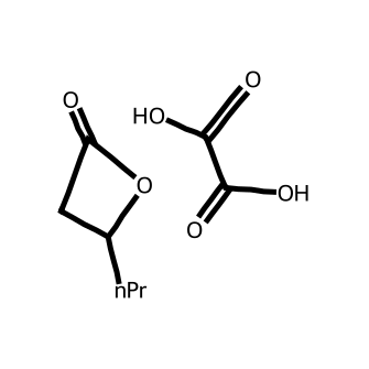 CCCC1CC(=O)O1.O=C(O)C(=O)O